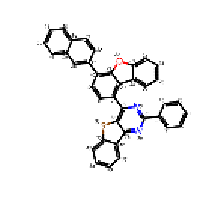 c1ccc(-c2nc(-c3ccc(-c4ccc5ccccc5c4)c4oc5ccccc5c34)c3sc4ccccc4c3n2)cc1